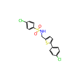 O=S(=O)(NCc1ccc(-c2ccc(Cl)cc2)s1)c1ccc(Cl)cc1